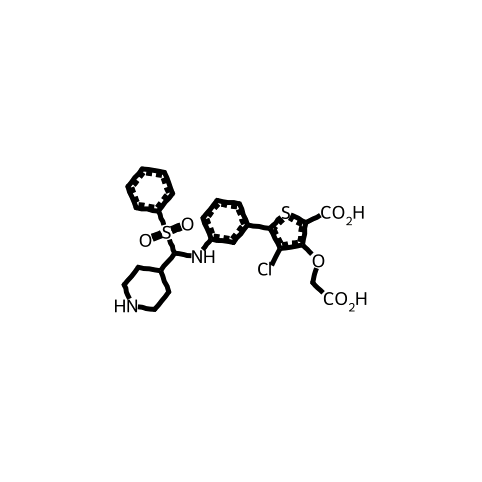 O=C(O)COc1c(C(=O)O)sc(-c2cccc(NC(C3CCNCC3)S(=O)(=O)c3ccccc3)c2)c1Cl